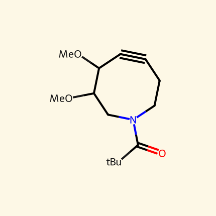 COC1C#CCCN(C(=O)C(C)(C)C)CC1OC